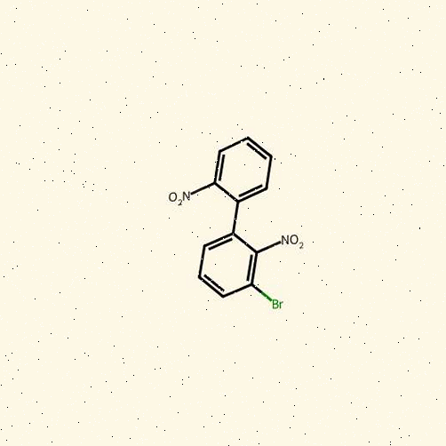 O=[N+]([O-])c1ccccc1-c1cccc(Br)c1[N+](=O)[O-]